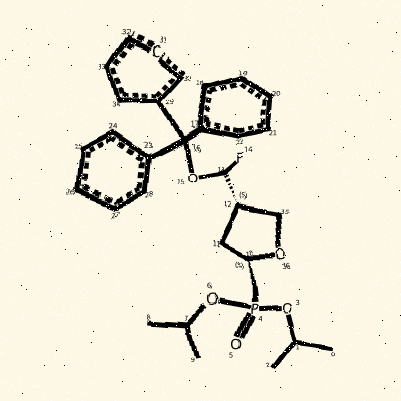 CC(C)OP(=O)(OC(C)C)[C@H]1C[C@H](C(F)OC(c2ccccc2)(c2ccccc2)c2ccccc2)CO1